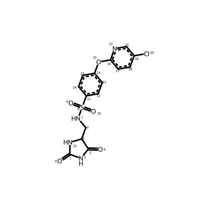 O=C1NC(=O)C(CNS(=O)(=O)c2ccc(Oc3ccc(Cl)cn3)cc2)N1